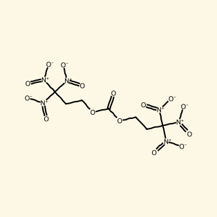 O=C(OCCC([N+](=O)[O-])([N+](=O)[O-])[N+](=O)[O-])OCCC([N+](=O)[O-])([N+](=O)[O-])[N+](=O)[O-]